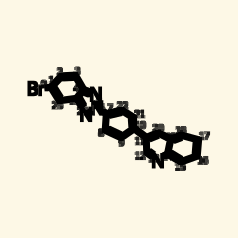 Brc1ccc2nn(-c3ccc(-c4cnc5ccccc5c4)cc3)nc2c1